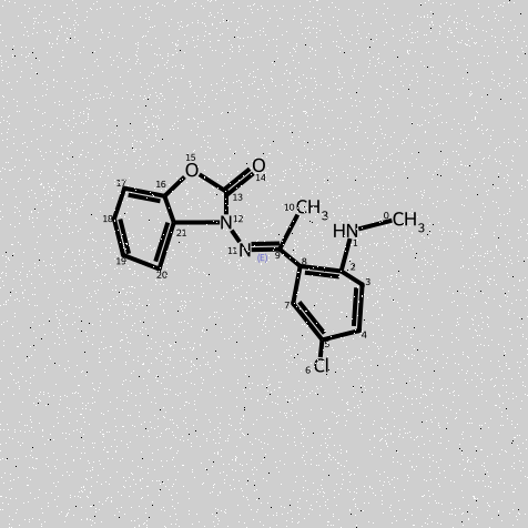 CNc1ccc(Cl)cc1/C(C)=N/n1c(=O)oc2ccccc21